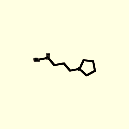 CC(C)(C)NCCCN1CCCC1